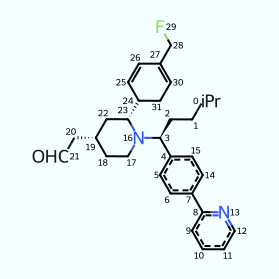 CC(C)CC[C@@H](c1ccc(-c2ccccn2)cc1)N1CC[C@H](CC=O)C[C@@H]1C1C=CC(CF)=CC1